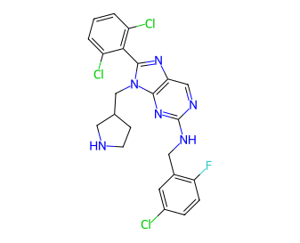 Fc1ccc(Cl)cc1CNc1ncc2nc(-c3c(Cl)cccc3Cl)n(CC3CCNC3)c2n1